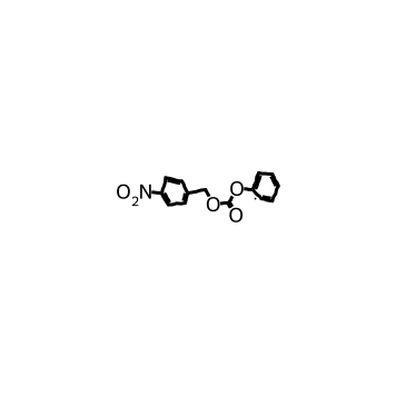 O=C(OCc1ccc([N+](=O)[O-])cc1)Oc1[c]cccc1